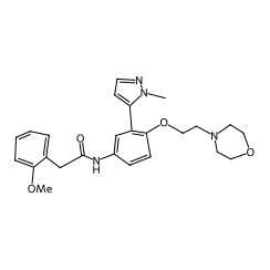 COc1ccccc1CC(=O)Nc1ccc(OCCN2CCOCC2)c(-c2ccnn2C)c1